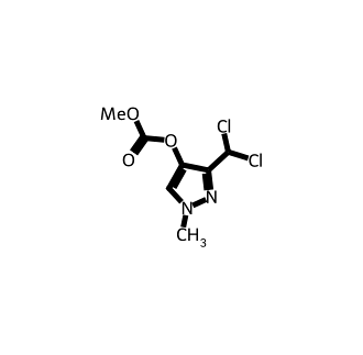 COC(=O)Oc1cn(C)nc1C(Cl)Cl